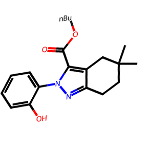 CCCCOC(=O)c1c2c(nn1-c1ccccc1O)CCC(C)(C)C2